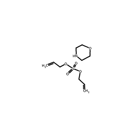 C1COCCN1.C=CCOS(=O)(=O)OCC=C